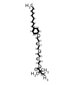 CCCCCCCCCc1ccc(OCCOCCOCCOCCOC(=O)C(C)(C)CC)cc1